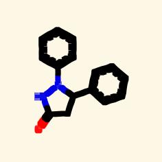 O=C1CC(c2ccccc2)N(c2ccccc2)N1